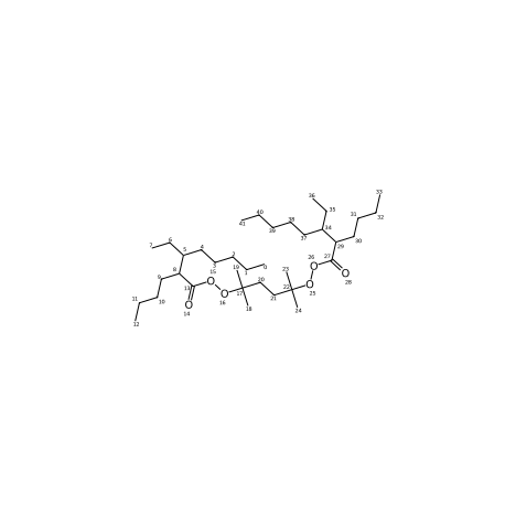 CCCCCC(CC)C(CCCC)C(=O)OOC(C)(C)CCC(C)(C)OOC(=O)C(CCCC)C(CC)CCCCC